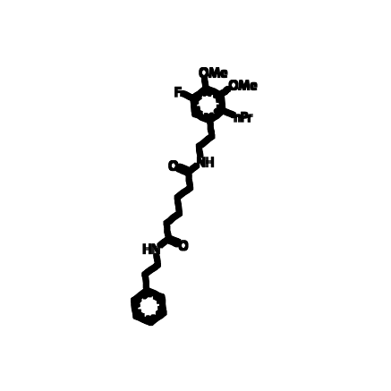 CCCc1c(CCNC(=O)CCCCC(=O)NCCc2ccccc2)cc(F)c(OC)c1OC